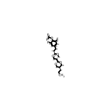 CCC[C@H]1CO[C@H]([C@H]2CO[C@H](CCc3cc(F)c(OC(F)F)c(F)c3)OC2)OC1